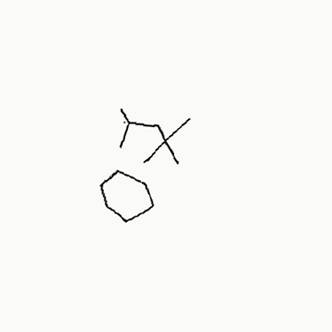 C1CCCCC1.C[C](C)CC(C)(C)C